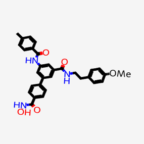 COc1ccc(CCNC(=O)c2cc(NC(=O)c3ccc(C)cc3)cc(-c3ccc(C(=O)NO)cc3)c2)cc1